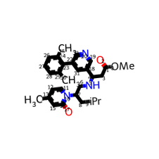 COC(=O)CC(NCC(CC(C)C)n1ccc(C)cc1=O)c1cncc(-c2c(C)cccc2C)c1